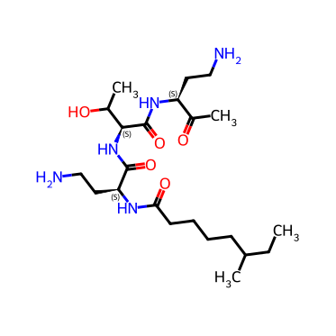 CCC(C)CCCCC(=O)N[C@@H](CCN)C(=O)N[C@H](C(=O)N[C@@H](CCN)C(C)=O)C(C)O